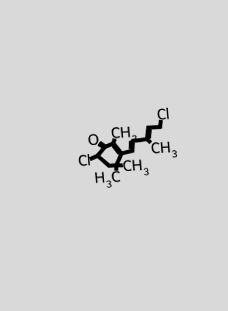 CC1=C(/C=C/C(C)=C/CCl)C(C)(C)CC(Cl)C1=O